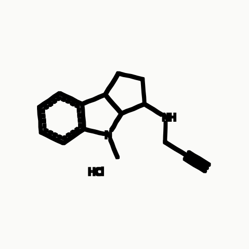 C#CCNC1CCC2c3ccccc3N(C)C12.Cl